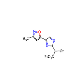 CCOC(=O)C(C(C)C)C1N=CC(c2cc(C)no2)=N1